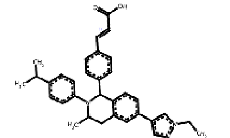 CCn1cc(-c2ccc3c(c2)CC(C)N(c2ccc(C(C)C)cc2)C3c2ccc(/C=C/C(=O)O)cc2)cn1